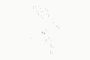 COC[C@H]1O[C@@H](NC=N)[C@H](O)[C@@H]1O[PH](=O)OCC1O[C@@H](n2cnc3c(N)ncnc32)[C@H](F)[C@@H]1OC